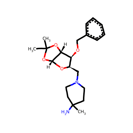 CC1(N)CCN(C[C@H]2O[C@@H]3OC(C)(C)O[C@@H]3[C@H]2OCc2ccccc2)CC1